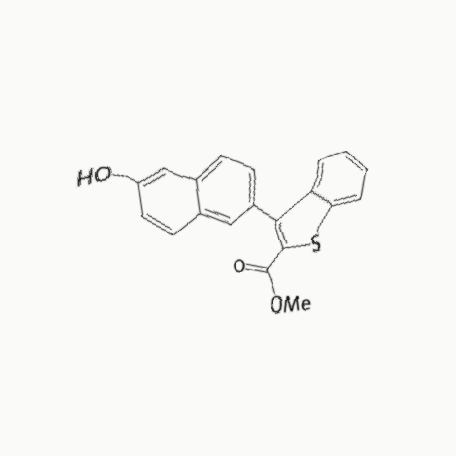 COC(=O)c1sc2ccccc2c1-c1ccc2cc(O)ccc2c1